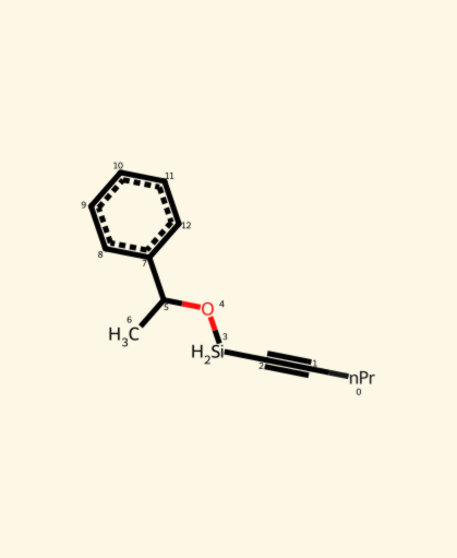 CCCC#C[SiH2]OC(C)c1ccccc1